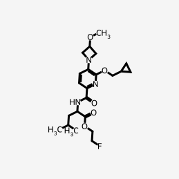 COC1CN(c2ccc(C(=O)NC(CC(C)C)C(=O)OCCF)nc2OCC2CC2)C1